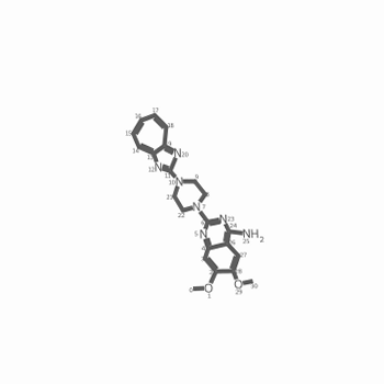 COc1cc2nc(N3CCN(c4nc5cccccc-5n4)CC3)nc(N)c2cc1OC